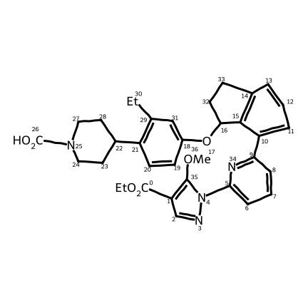 CCOC(=O)c1cnn(-c2cccc(-c3cccc4c3C(Oc3ccc(C5CCN(C(=O)O)CC5)c(CC)c3)CC4)n2)c1OC